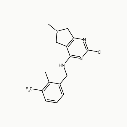 Cc1c(CNc2nc(Cl)nc3c2CN(C)C3)cccc1C(F)(F)F